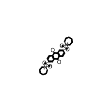 O=C1c2ccc(S(=O)(=O)N3CCCCCC3)cc2C(=O)c2ccc(S(=O)(=O)N3CCCCCC3)cc21